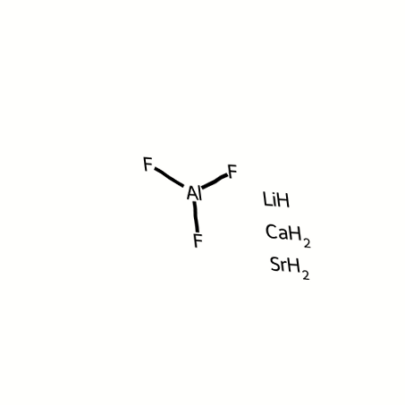 [CaH2].[F][Al]([F])[F].[LiH].[SrH2]